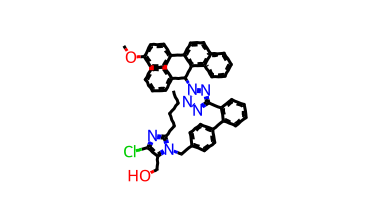 CCCCc1nc(Cl)c(CO)n1Cc1ccc(-c2ccccc2-c2nnn(C(c3ccccc3)c3c(-c4ccc(OC)cc4)ccc4ccccc34)n2)cc1